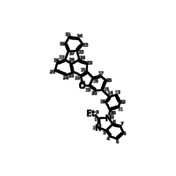 CCc1nc2ccccc2n1-c1cccc(-c2ccc3c(c2)oc2c4cccc5c4c(cc32)-c2ccccc2-5)c1